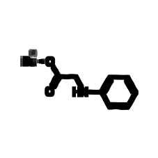 CC[C@@H](C)OC(=O)CNc1ccccc1